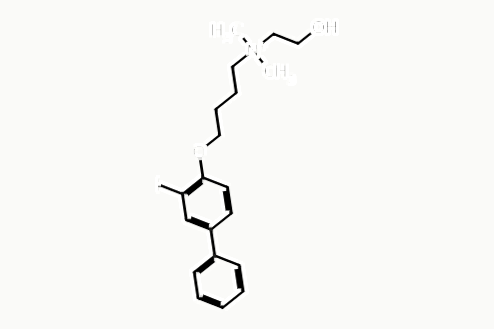 C[N+](C)(CCO)CCCCOc1ccc(-c2ccccc2)cc1I